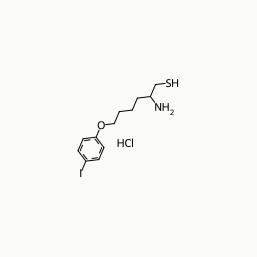 Cl.NC(CS)CCCCOc1ccc(I)cc1